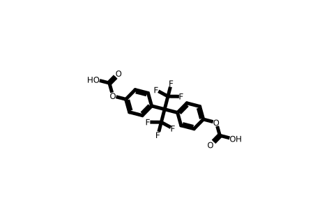 O=C(O)Oc1ccc(C(c2ccc(OC(=O)O)cc2)(C(F)(F)F)C(F)(F)F)cc1